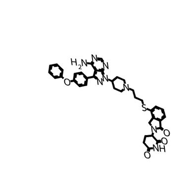 Nc1ncnc2c1c(-c1ccc(Oc3ccccc3)cc1)nn2C1CCN(CCCSc2cccc3c2CN(C2CCC(=O)NC2=O)C3=O)CC1